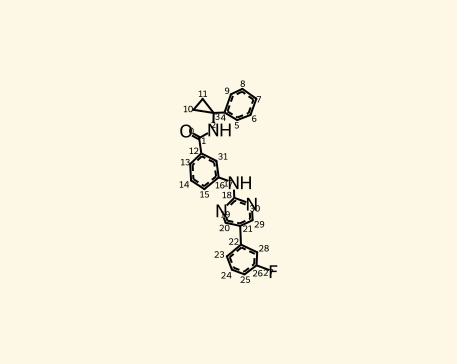 O=C(NC1(c2ccccc2)CC1)c1cccc(Nc2ncc(-c3cccc(F)c3)cn2)c1